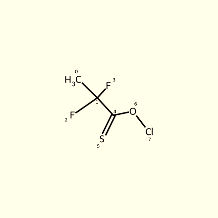 CC(F)(F)C(=S)OCl